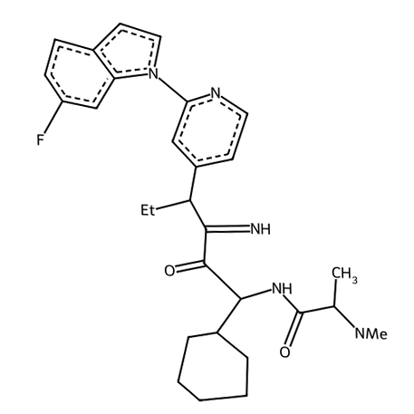 CCC(C(=N)C(=O)C(NC(=O)C(C)NC)C1CCCCC1)c1ccnc(-n2ccc3ccc(F)cc32)c1